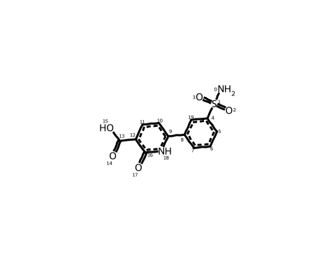 NS(=O)(=O)c1cccc(-c2ccc(C(=O)O)c(=O)[nH]2)c1